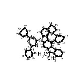 CC1(C)c2ccccc2-c2c1cc1c3c2-c2ccccc2-c2cccc4ccc(c3c24)n1-c1nc(-c2ccccc2)nc(-c2ccccc2)n1